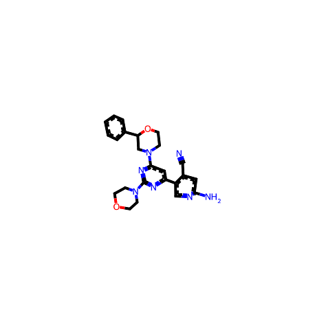 N#Cc1cc(N)ncc1-c1cc(N2CCOC(c3ccccc3)C2)nc(N2CCOCC2)n1